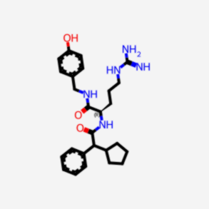 N=C(N)NCCC[C@@H](NC(=O)C(c1ccccc1)C1CCCC1)C(=O)NCc1ccc(O)cc1